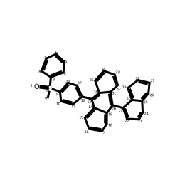 CP(=O)(c1ccccc1)c1ccc(-c2c3ccccc3c(-c3cccc4ccccc34)c3ccccc23)cc1